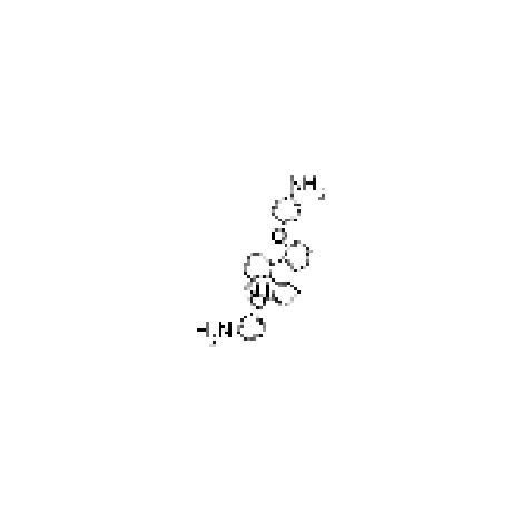 Nc1ccc(Oc2ccccc2-c2cccc(S)c2-c2ccccc2Oc2cccc(N)c2)cc1